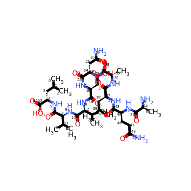 CC(C)C[C@H](NC(=O)[C@@H](NC(=O)[C@@H](NC(=O)[C@H](CC(=O)O)NC(=O)[C@H](CC(N)=O)NC(=O)[C@H](C)NC(=O)[C@H](CC(C)C)NC(=O)[C@H](CCC(N)=O)NC(=O)[C@H](C)N)C(C)C)C(C)C)C(=O)O